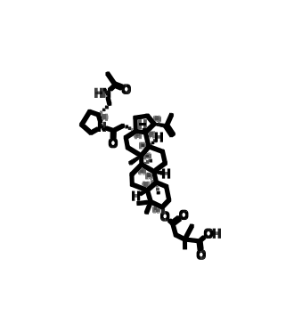 C=C(C)[C@@H]1CC[C@]2(CC(=O)N3CCC[C@@H]3CNC(C)=O)CC[C@]3(C)[C@H](CC[C@@H]4[C@@]5(C)CC[C@H](OC(=O)CC(C)(C)C(=O)O)C(C)(C)[C@@H]5CC[C@]43C)[C@@H]12